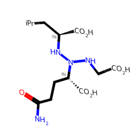 CC(C)C[C@H](NN(NCC(=O)O)[C@@H](CCC(N)=O)C(=O)O)C(=O)O